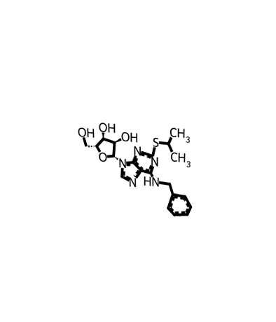 CC(C)Sc1nc(NCc2ccccc2)c2ncn([C@@H]3O[C@H](CO)[C@@H](O)[C@H]3O)c2n1